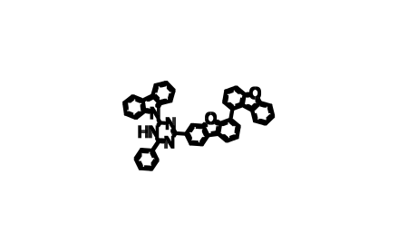 c1ccc(C2=NC(c3ccc4c(c3)oc3c(-c5cccc6oc7ccccc7c56)cccc34)=NC(n3c4ccccc4c4ccccc43)N2)cc1